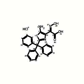 Cl.Nc1sc(C(c2ccccc2)(c2ccccc2)c2ccccc2)nc1C(=NO)C(=O)O